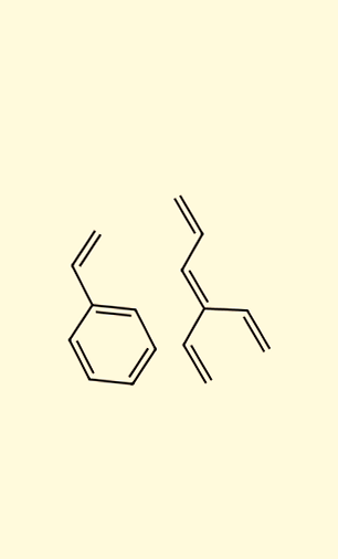 C=CC=C(C=C)C=C.C=Cc1ccccc1